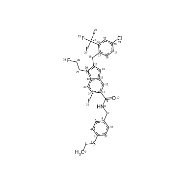 CCSc1ccc(CNC(=O)c2cc3cc(Cc4ccc(Cl)cc4C(F)(F)F)n(CCF)c3cc2F)cc1